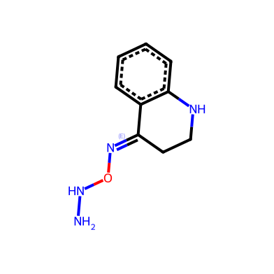 NNO/N=C1\CCNc2ccccc21